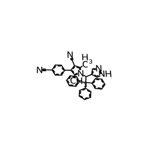 Cc1c(C#N)c(-c2ccc(C#N)cc2)c(C)n1C(c1cn[nH]c1)C(c1ccccc1)(c1ccccc1)c1ccccc1